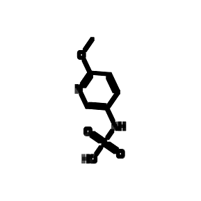 COc1ccc(NS(=O)(=O)O)cn1